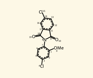 COc1cc(Cl)ccc1N1C(=O)c2ccc(Cl)cc2C1=O